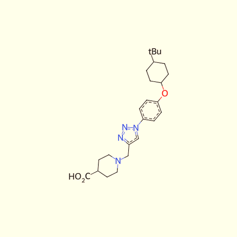 CC(C)(C)C1CCC(Oc2ccc(-n3cc(CN4CCC(C(=O)O)CC4)nn3)cc2)CC1